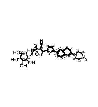 C/C(=C(/C#N)S(=O)(=O)NC[C@H]1OC(O)[C@H](O)[C@@H](O)[C@@H]1O)c1ccc(-c2ccc3cc(N4CCN(C)CC4)ccc3c2)s1